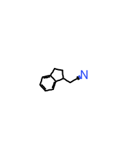 N#CCC1CCc2ccccc21